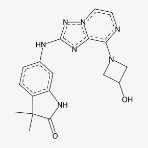 CC1(C)C(=O)Nc2cc(Nc3nc4c(N5CC(O)C5)nccn4n3)ccc21